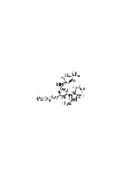 COCCNc1cc(Nc2ccc(C(F)(F)F)cc2)nc(-n2c(C)nc3ccccc32)n1